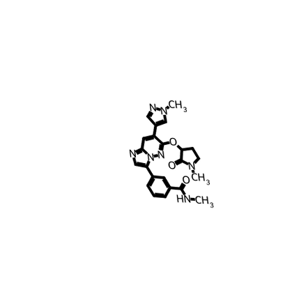 CNC(=O)c1cccc(-c2cnc3cc(-c4cnn(C)c4)c(OC4CCN(C)C4=O)nn23)c1